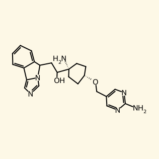 Nc1ncc(CO[C@H]2CC[C@](N)(C(O)CC3c4ccccc4-c4cncn43)CC2)cn1